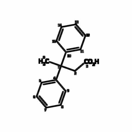 CC(CC(=O)O)(c1ccccc1)c1ccccc1